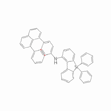 c1ccc(-c2cccc3cccc(-c4ccc(Nc5cccc6c5-c5ccccc5[Si]6(c5ccccc5)c5ccccc5)cc4)c23)cc1